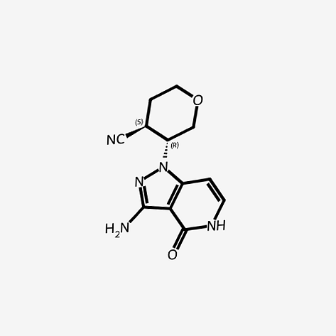 N#C[C@H]1CCOC[C@@H]1n1nc(N)c2c(=O)[nH]ccc21